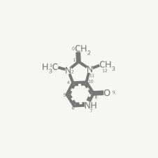 C=C1N(C)c2cc[nH]c(=O)c2N1C